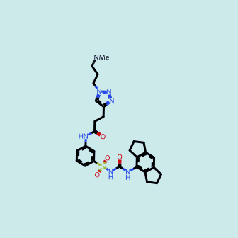 CNCCCn1cc(CCC(=O)Nc2cccc(S(=O)(=O)NC(=O)Nc3c4c(cc5c3CCC5)CCC4)c2)nn1